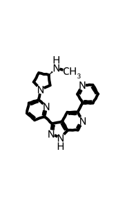 CN[C@H]1CCN(c2cccc(-c3n[nH]c4cnc(-c5cccnc5)cc34)n2)C1